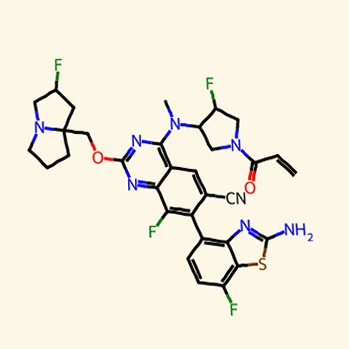 C=CC(=O)N1CC(F)C(N(C)c2nc(OCC34CCCN3CC(F)C4)nc3c(F)c(-c4ccc(F)c5sc(N)nc45)c(C#N)cc23)C1